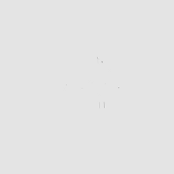 CC(=O)OC(C)(c1ccccn1)C(F)(F)F